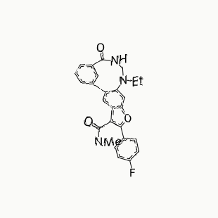 CCN1CNC(=O)c2cccc(c2)-c2cc3c(C(=O)NC)c(-c4ccc(F)cc4)oc3cc21